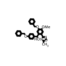 COc1cc(-c2noc(C)n2)c(C(O)c2ccc(OCc3ccccc3)cc2)cc1OCc1ccccc1